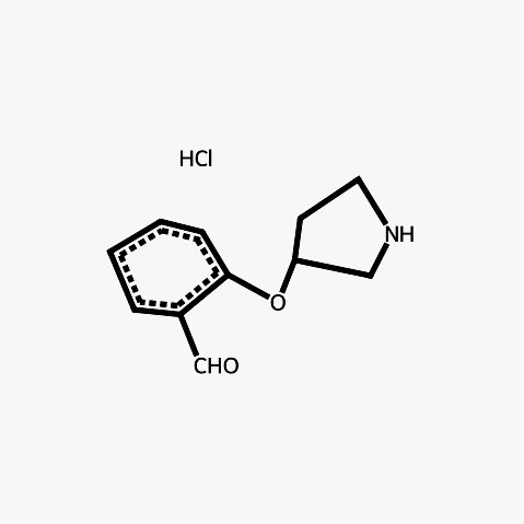 Cl.O=Cc1ccccc1OC1CCNC1